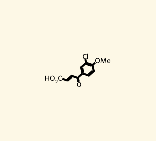 COc1ccc(C(=O)/C=C/C(=O)O)cc1Cl